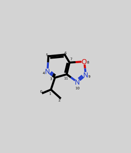 CC(C)c1nccc2onnc12